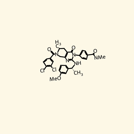 CNC(=O)c1ccc(-n2c(N[C@H](C)c3cccc(OC)c3)nc3c(c2=O)C[C@@H](C)N(C(=O)c2ccc(Cl)c(Cl)c2)C3)cc1